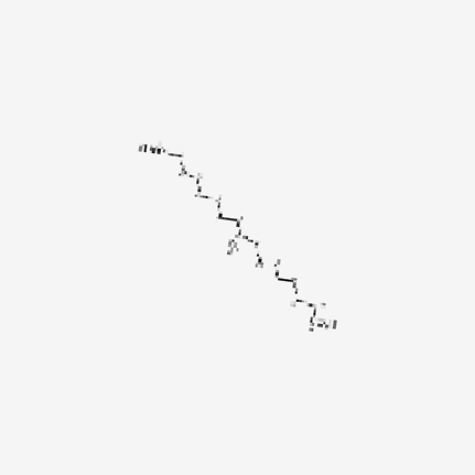 CCCCCCCCCCCCCCCCCCCCCCCCCC(=O)O.[Cu]